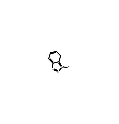 [O-][N+]1=C2CC=CC=C2N=N1